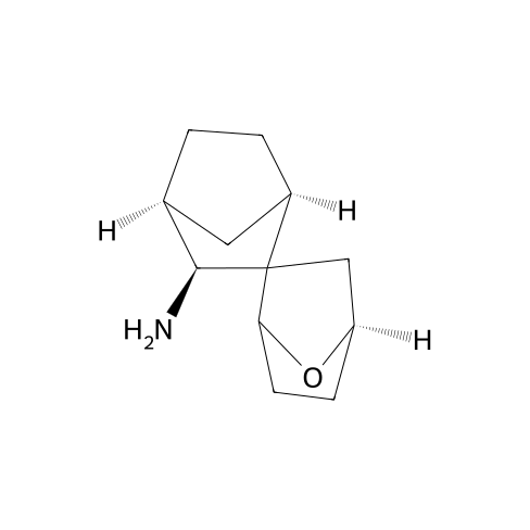 N[C@H]1[C@H]2CC[C@H](C2)C12C[C@H]1CCC2O1